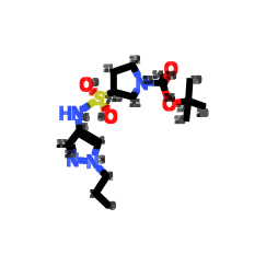 CCCn1cc(NS(=O)(=O)C2CCN(C(=O)OC(C)(C)C)C2)cn1